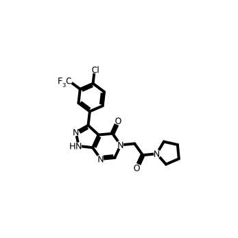 O=C(Cn1cnc2[nH]nc(-c3ccc(Cl)c(C(F)(F)F)c3)c2c1=O)N1CCCC1